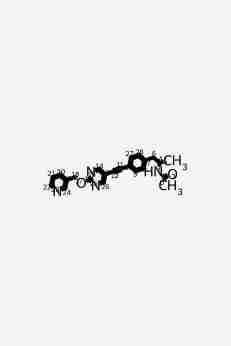 CC(=O)NC(C)Cc1ccc(C#Cc2cnc(OCc3cccnc3)nc2)cc1